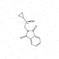 O=C1c2ccccc2C(=O)N1C[C@H](O)C1CC1